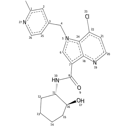 Cc1cc(Cn2cc(C(=O)N[C@H]3CCCC[C@@H]3O)c3nccc(Cl)c32)ccn1